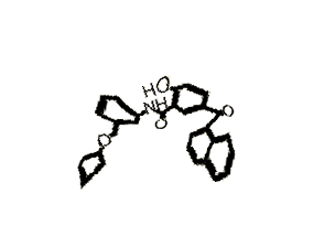 O=C(Nc1cccc(COc2ccccc2)c1)c1cc(C(=O)c2cccc3ccccc23)ccc1O